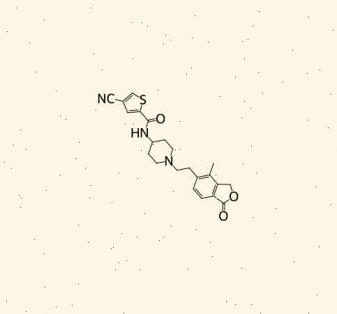 Cc1c(CCN2CCC(NC(=O)c3cc(C#N)cs3)CC2)ccc2c1COC2=O